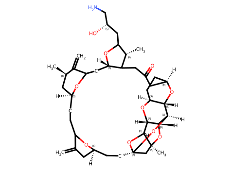 C=C1C[C@@H]2CC[C@@]34C[C@]5(C)O[C@H]6[C@@H](O3)[C@H]3O[C@H](CC[C@@H]3O[C@H]6[C@H]5O4)CC(=O)CC3[C@@H](C)C(C[C@H](O)CN)O[C@H]3CC3O[C@@H](CCC1O2)C[C@@H](C)C3=C